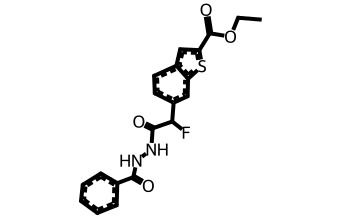 CCOC(=O)c1cc2ccc(C(F)C(=O)NNC(=O)c3ccccc3)cc2s1